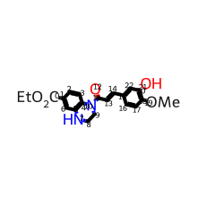 CCOC(=O)c1ccc2c(c1)NCCN2C(=O)C=Cc1ccc(OC)c(O)c1